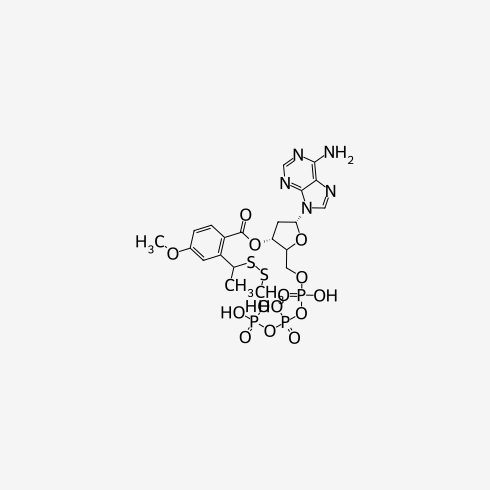 COc1ccc(C(=O)O[C@@H]2C[C@H](n3cnc4c(N)ncnc43)OC2COP(=O)(O)OP(=O)(O)OP(=O)(O)O)c(C(C)SSC)c1